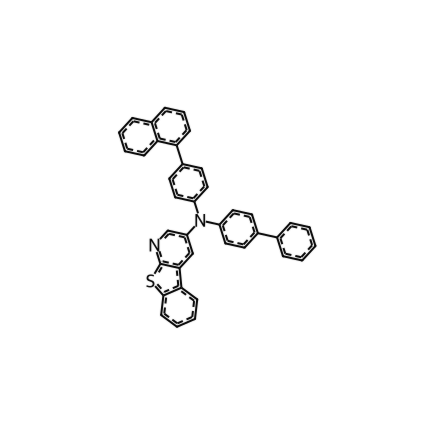 c1ccc(-c2ccc(N(c3ccc(-c4cccc5ccccc45)cc3)c3cnc4sc5ccccc5c4c3)cc2)cc1